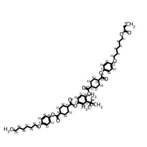 C=CC(=O)OCCCCCCOc1ccc(OC(=O)C2CCC(C(=O)Oc3ccc(OC(=O)C4CCC(C(=O)Oc5ccc(OCCCCCCC)cc5)CC4)cc3C(C)(C)C)CC2)cc1